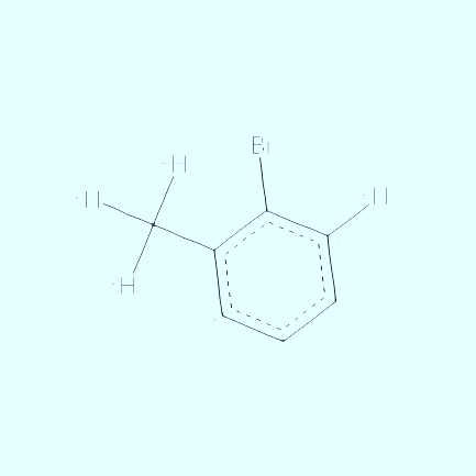 [2H]c1cccc(C([2H])([2H])[2H])c1Br